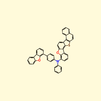 c1ccc(N(c2ccc(-c3cccc4c3oc3ccccc34)cc2)c2cccc3c2oc2ccc4c(sc5ccc6ccccc6c54)c23)cc1